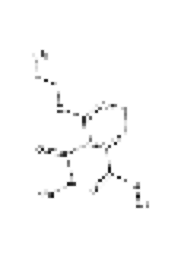 C=CCOc1cccc(C(=O)OCCCC)c1C(=O)OCCCC